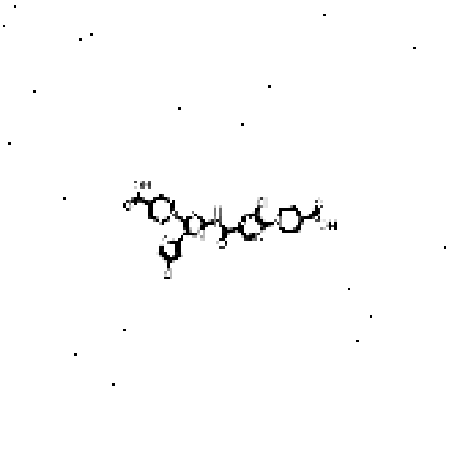 O=C(Nc1nc(-c2cc(Cl)cs2)c(N2CCC(C(=O)O)CC2)s1)c1cnc(N2CCC(C(=O)O)CC2)c(Cl)c1